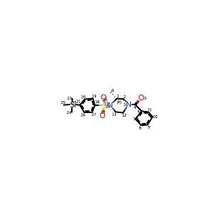 C[C@@H]1CN(C(=O)c2ccccc2)CCN1S(=O)(=O)c1ccc([Si](C)(C)C)cc1